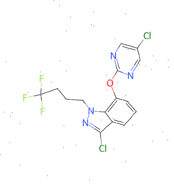 FC(F)(F)CCCn1nc(Cl)c2cccc(Oc3ncc(Cl)cn3)c21